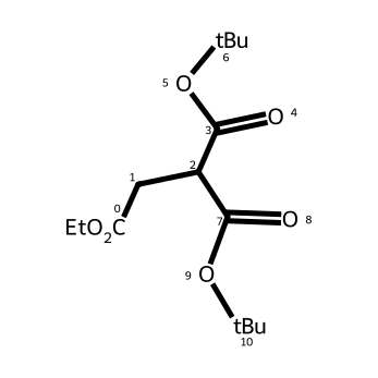 CCOC(=O)CC(C(=O)OC(C)(C)C)C(=O)OC(C)(C)C